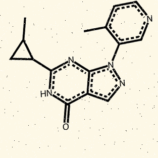 Cc1ccncc1-n1ncc2c(=O)[nH]c(C3CC3C)nc21